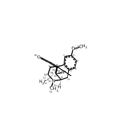 COc1ccc2c(c1)[C@]13CCN(C)[C@H](C2)[C@@H]1[C@@H](C)CC(=O)C3